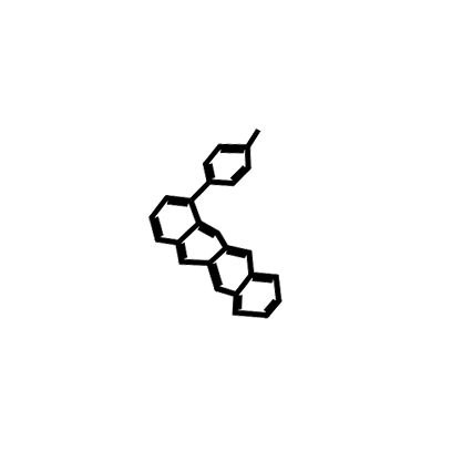 Cc1ccc(-c2cccc3cc4cc5ccccc5cc4cc23)cc1